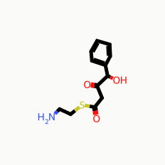 NCCSC(=O)CC(=O)C(O)c1ccccc1